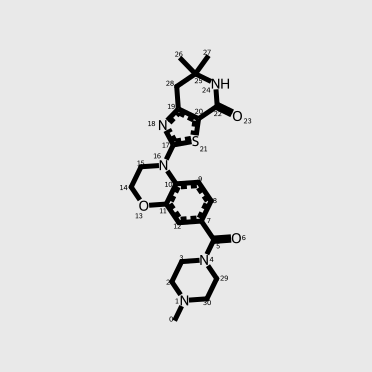 CN1CCN(C(=O)c2ccc3c(c2)OCCN3c2nc3c(s2)C(=O)NC(C)(C)C3)CC1